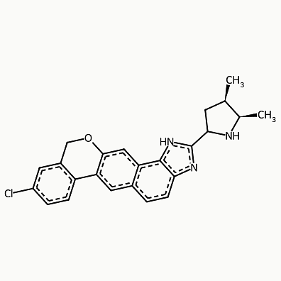 C[C@@H]1CC(c2nc3ccc4cc5c(cc4c3[nH]2)OCc2cc(Cl)ccc2-5)N[C@@H]1C